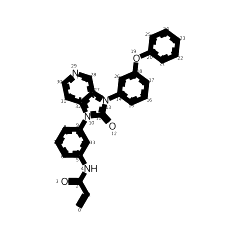 C=CC(=O)Nc1cccc(-n2c(=O)n(-c3cccc(Oc4ccccc4)c3)c3cnccc32)c1